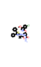 COc1cnc(O[C@@H]2C[C@@H](C(N)=O)N(C(=O)[C@@H](Nc3nc(-c4ccccc4)c(-c4ccccc4)s3)C(C)(C)C)C2)c2cc(Cl)ccc12